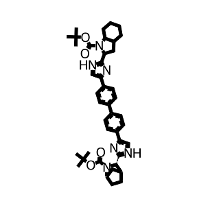 CC(C)(C)OC(=O)N1C(c2nc(-c3ccc(-c4ccc(-c5c[nH]c([C@@H]6C7CCC(C7)N6C(=O)OC(C)(C)C)n5)cc4)cc3)c[nH]2)CC2CCCCC21